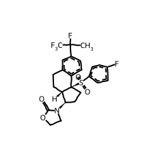 CC(F)(c1ccc2c(c1)CC[C@H]1[C@H](N3CCOC3=O)CC[C@@]21S(=O)(=O)c1ccc(F)cc1)C(F)(F)F